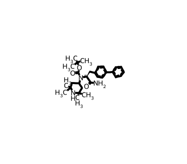 CC1(C)CC(N(C(=O)OC(C)(C)C)[C@@H](Cc2ccc(-c3ccccc3)cc2)C(N)=O)CC(C)(C)N1